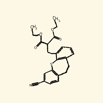 CCOC(=O)C(Cc1cccc2c1Sc1cc(C#N)ccc1CC2)C(=O)OCC